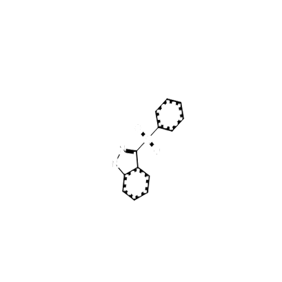 O=S(=O)(C1=N[N]c2ccccc21)c1ccccc1